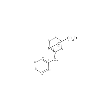 CCOC(=O)C12CCN(CC1)C(Oc1ccccc1)C2